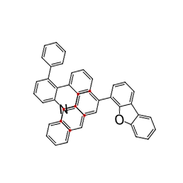 c1ccc(-c2ccccc2-c2c(-c3ccccc3)cccc2N(c2ccccc2)c2ccc(-c3cccc4c3oc3ccccc34)cc2)cc1